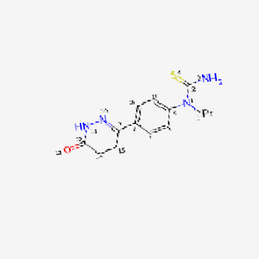 CC(C)N(C(N)=S)c1ccc(C2=NNC(=O)CC2)cc1